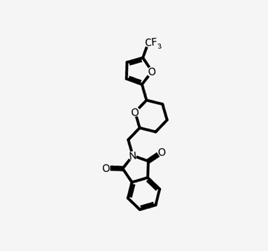 O=C1c2ccccc2C(=O)N1CC1CCCC(c2ccc(C(F)(F)F)o2)O1